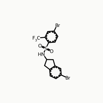 O=S(=O)(NC1Cc2ccc(Br)cc2C1)c1ccc(Br)cc1C(F)(F)F